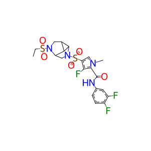 CCS(=O)(=O)N1CC2C3C1CN(S(=O)(=O)c1cn(C)c(C(=O)Nc4ccc(F)c(F)c4)c1F)C23